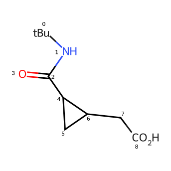 CC(C)(C)NC(=O)C1CC1CC(=O)O